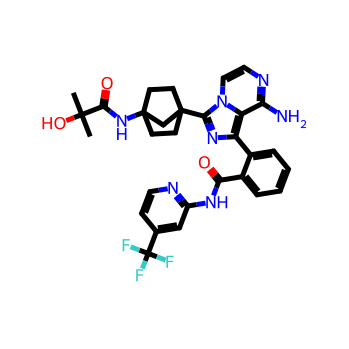 CC(C)(O)C(=O)NC12CCC(c3nc(-c4ccccc4C(=O)Nc4cc(C(F)(F)F)ccn4)c4c(N)nccn34)(CC1)C2